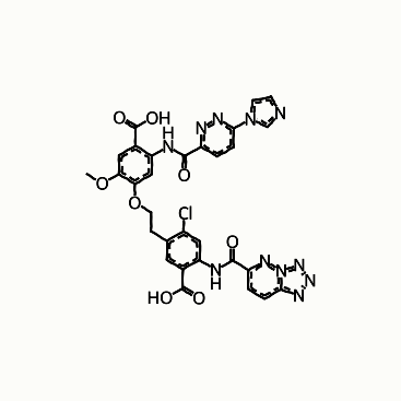 COc1cc(C(=O)O)c(NC(=O)c2ccc(-n3ccnc3)nn2)cc1OCCc1cc(C(=O)O)c(NC(=O)c2ccc3nnnn3n2)cc1Cl